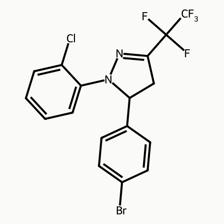 FC(F)(F)C(F)(F)C1=NN(c2ccccc2Cl)C(c2ccc(Br)cc2)C1